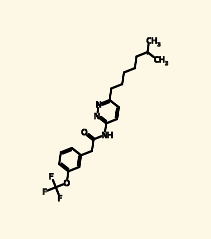 C[C](C)CCCCCc1ccc(NC(=O)Cc2cccc(OC(F)(F)F)c2)nn1